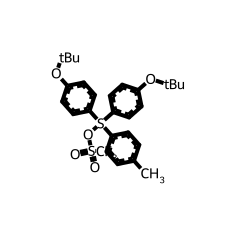 Cc1ccc(S(OS(=O)(=O)C(F)(F)F)(c2ccc(OC(C)(C)C)cc2)c2ccc(OC(C)(C)C)cc2)cc1